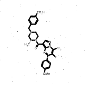 COc1ccc(-c2nc3c(C(=O)N4CCN(Cc5ccc(C(=O)O)cc5)C[C@H]4C)cnn3c(C(F)(F)F)c2F)cc1